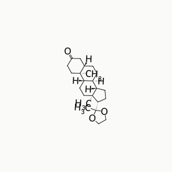 CC1([C@H]2CC[C@H]3[C@@H]4CC[C@H]5CC(=O)CC[C@]5(C)[C@H]4CC[C@]23C)OCCO1